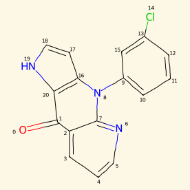 O=c1c2cccnc2n(-c2cccc(Cl)c2)c2cc[nH]c12